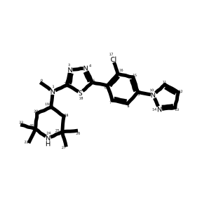 CN(c1nnc(-c2ccc(-n3cccn3)cc2Cl)s1)C1CC(C)(C)NC(C)(C)C1